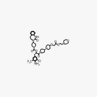 Nc1c(Cl)cc(C[C@@H](OC(=O)N2CCC(N3CCc4ccccc4NC3=O)CC2)C(=O)N2CCC(N3CCC(OCC(=O)OCCN4CCOCC4)CC3)CC2)cc1C(F)(F)F